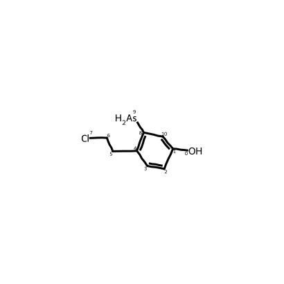 Oc1ccc(CCCl)c([AsH2])c1